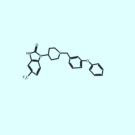 O=c1[nH]c2cc(C(F)(F)F)ccc2n1C1CCN(Cc2cccc(Oc3ccccc3)c2)CC1